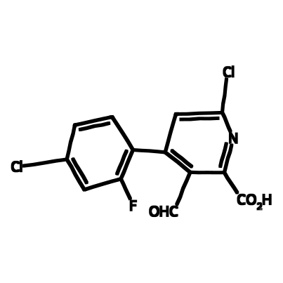 O=Cc1c(-c2ccc(Cl)cc2F)cc(Cl)nc1C(=O)O